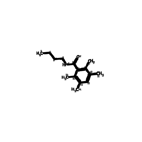 CCCCPC(=O)c1c(C)c(C)cc(C)c1C